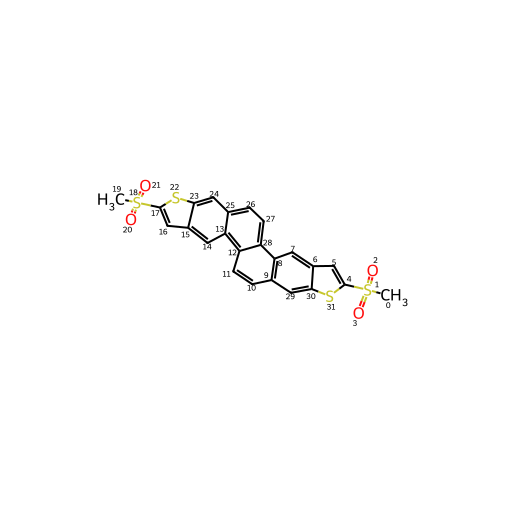 CS(=O)(=O)c1cc2cc3c(ccc4c5cc6cc(S(C)(=O)=O)sc6cc5ccc34)cc2s1